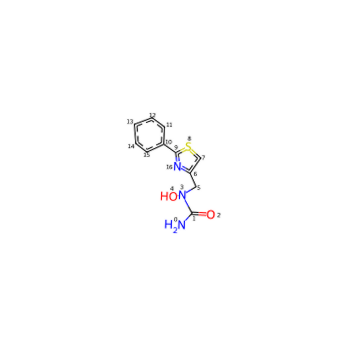 NC(=O)N(O)Cc1csc(-c2ccccc2)n1